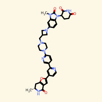 C[C@@H]1Cc2oc(-c3ccnc(-c4ccc(N5CCN(CC6CN(c7ccc8c(c7)n(C)c(=O)n8C7CCC(=O)NC7=O)C6)CC5)nc4)c3)cc2C(=O)N1